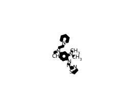 CCN(CC[n+]1ccccc1)c1ccc(N=Nc2nccs2)c(N(C)C)c1